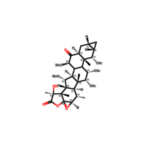 CO[C@H]1[C@@H]2[C@H]([C@H](C)[C@H]3O[C@]34OC(=O)[C@@](C)(O)[C@]24C)[C@]2(C)[C@@H]1C1C([C@H](OC(C)=O)[C@@H]2OC(C)=O)[C@]2(C)[C@H](C[C@@H]3C[C@@H]3[C@@H]2OC(C)=O)C(=O)[C@@H]1OC